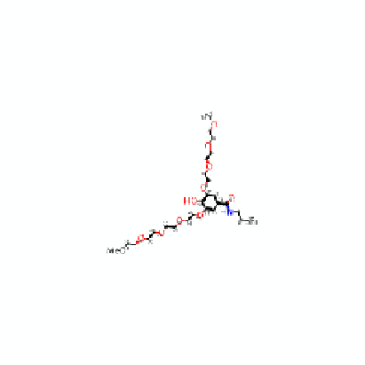 CCCOCCOCCOCCOc1cc(C(=O)NCCC(C)C)cc(OCCOCCOCCOCCOC)c1O